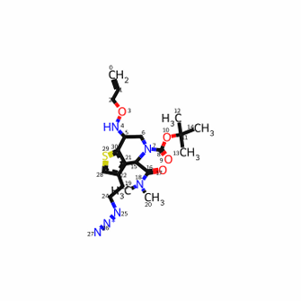 C=CCONC1CN(C(=O)OC(C)(C)C)C(C(=O)N(C)C)c2c(CCN=[N+]=[N-])csc21